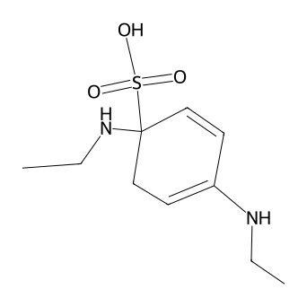 CCNC1=CCC(NCC)(S(=O)(=O)O)C=C1